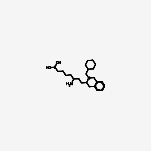 NC(CCCCB(O)O)CCC1Cc2ccccc2CN1CC1CCCCC1